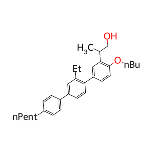 CCCCCc1ccc(-c2ccc(-c3ccc(OCCCC)c(C(C)CO)c3)c(CC)c2)cc1